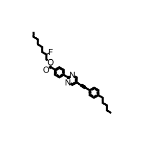 CCCCCC[C@@H](F)COC(=O)c1ccc(-c2ncc(C#Cc3ccc(CCCCC)cc3)cn2)cc1